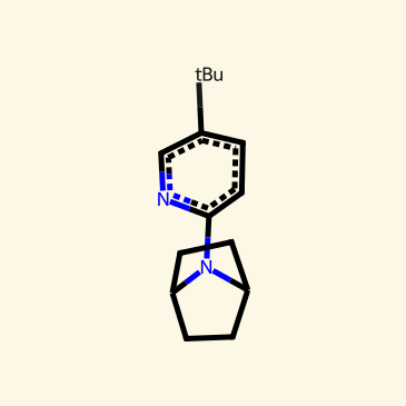 CC(C)(C)c1ccc(N2C3CCC2CC3)nc1